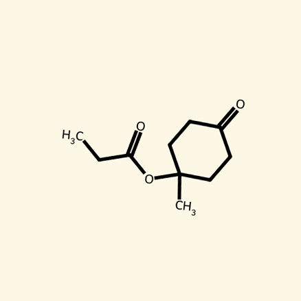 CCC(=O)OC1(C)CCC(=O)CC1